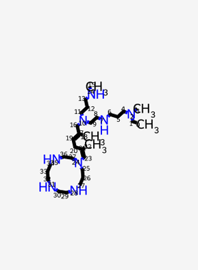 CCN(C)CCCNCCN(CCCNC)C/C(C)=C/C/C(C)=C\N1CCCNCCNCCCNCC1